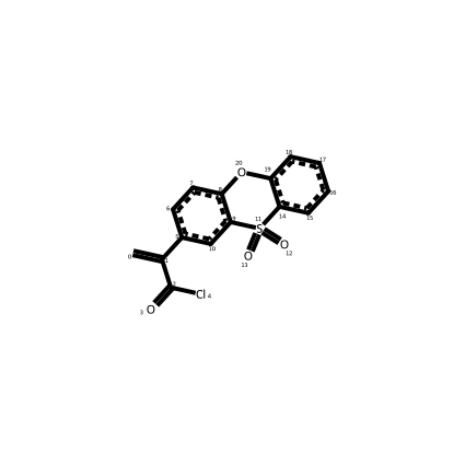 C=C(C(=O)Cl)c1ccc2c(c1)S(=O)(=O)c1ccccc1O2